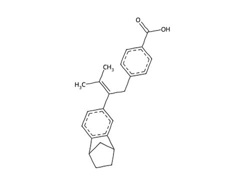 CC(C)=C(Cc1ccc(C(=O)O)cc1)c1ccc2c(c1)C1CCC2C1